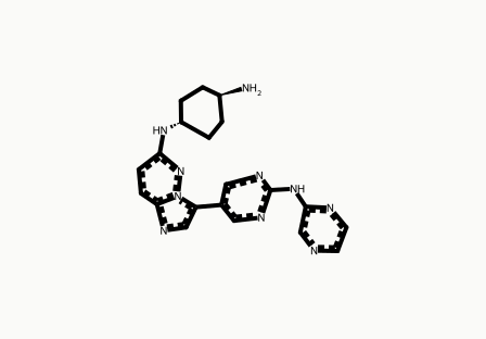 N[C@H]1CC[C@H](Nc2ccc3ncc(-c4cnc(Nc5cnccn5)nc4)n3n2)CC1